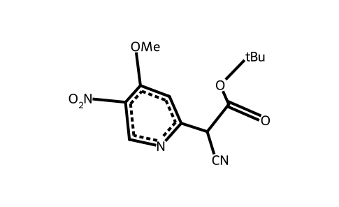 COc1cc(C(C#N)C(=O)OC(C)(C)C)ncc1[N+](=O)[O-]